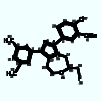 COc1cc(-c2nc(-c3cc(C)nc(C)c3)c3n2C[C@@H](CF)OCC3)ccc1Cl